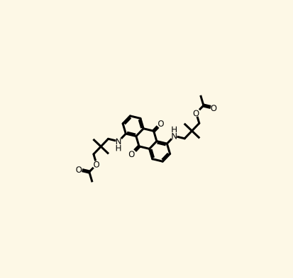 CC(=O)OCC(C)(C)CNc1cccc2c1C(=O)c1cccc(NCC(C)(C)COC(C)=O)c1C2=O